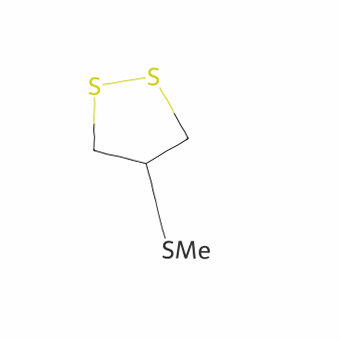 CSC1CSSC1